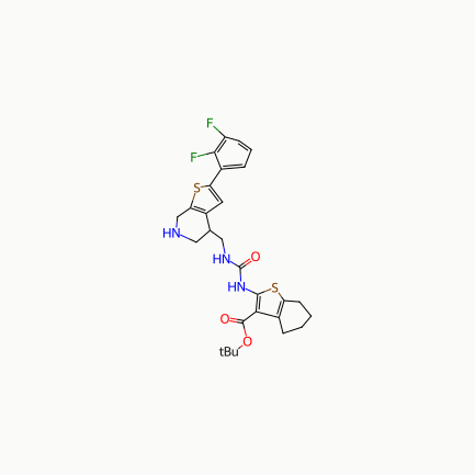 CC(C)(C)OC(=O)c1c(NC(=O)NCC2CNCc3sc(-c4cccc(F)c4F)cc32)sc2c1CCCC2